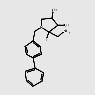 NCC1(I)C(O)C(O)CN1Cc1ccc(-c2ccccc2)cc1